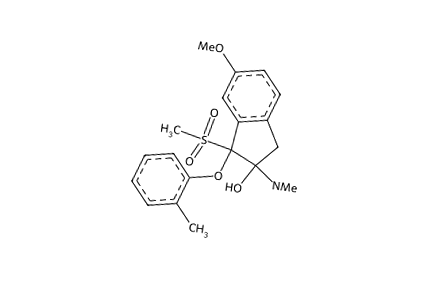 CNC1(O)Cc2ccc(OC)cc2C1(Oc1ccccc1C)S(C)(=O)=O